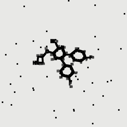 N#Cc1nc(-c2ccc(F)cc2)c(-c2ccc(F)cc2)nc1OC1CNC1